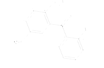 COc1ccc(C(=O)O)c(C(=O)c2ccccc2F)c1